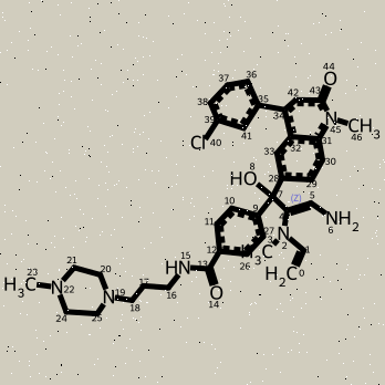 C=CN(C)/C(=C\N)C(O)(c1ccc(C(=O)NCCCN2CCN(C)CC2)cc1)c1ccc2c(c1)c(-c1cccc(Cl)c1)cc(=O)n2C